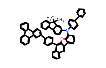 CC1(C)c2ccccc2-c2ccc(N(c3ccc(-c4ccccc4)cc3)c3cccc4c3oc3c(-c5ccc(-c6ccc7c8ccccc8c8ccccc8c7c6)cc5)c5ccccc5cc34)cc21